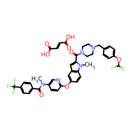 CN(C(=O)c1ccc(C(F)(F)F)cc1)c1ccc(Oc2ccc3c(c2)cc(C(=O)N2CCN(Cc4ccc(OC(F)F)cc4)CC2)n3C)nc1.O=C(O)C=CC(=O)O